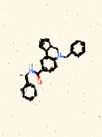 C[C@H](NC(=O)c1ccc2c(c1)C1C=CCC1CN2Cc1ccccc1)c1ccccc1